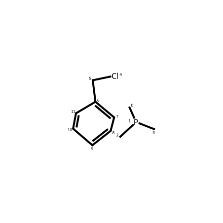 CP(C)C.ClCc1ccccc1